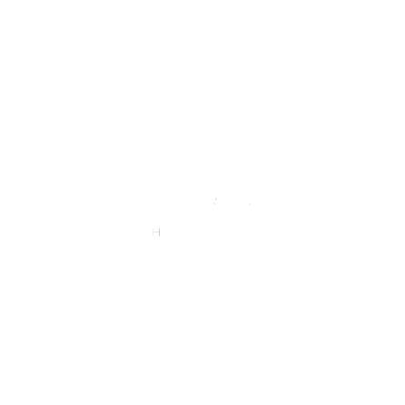 CC1=CCC12CC2